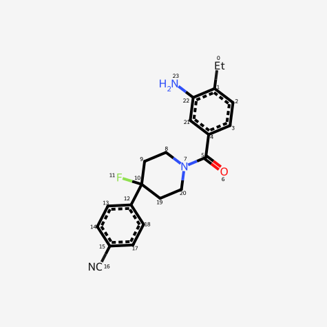 CCc1ccc(C(=O)N2CCC(F)(c3ccc(C#N)cc3)CC2)cc1N